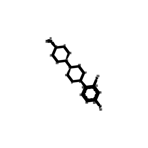 CCCC[C@H]1CC[C@H]([C@H]2CC[C@H](c3ccc(F)cc3F)CC2)CC1